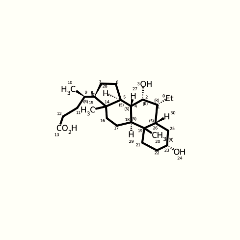 CC[C@H]1[C@@H](O)[C@H]2[C@@H]3CC[C@H]([C@H](C)CCC(=O)O)C3(C)CC[C@@H]2C2(C)CC[C@@H](O)C[C@@H]12